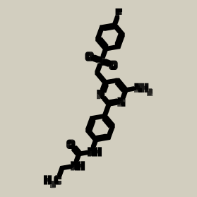 CCNC(=O)Nc1ccc(-c2nc(N)cc(CS(=O)(=O)c3ccc(F)cc3)n2)cc1